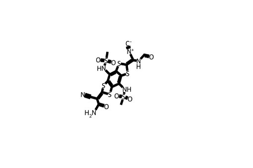 [C-]#[N+]C(NC=O)=C1Sc2c(NS(C)(=O)=O)c3c(c(NS(C)(=O)=O)c2S1)SC(=C(C#N)C(N)=O)S3